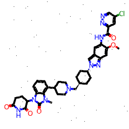 COc1cc2nn([C@H]3CC[C@H](CN4CCC(c5cccc6c5n(C)c(=O)n6C5CCC(=O)NC5=O)CC4)CC3)cc2cc1NC(=O)c1cc(Cl)cnn1